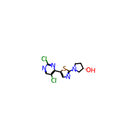 O[C@H]1CCN(c2ncc(-c3nc(Cl)ncc3Cl)s2)C1